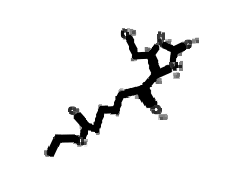 CCOC(=O)CCCCC(=O)c1[nH]c(=O)[nH]c1CCl